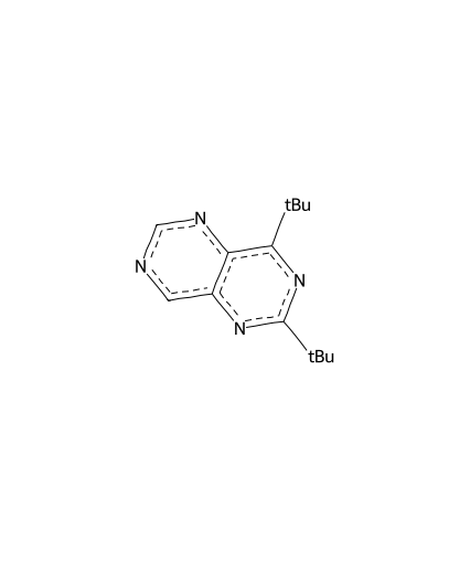 CC(C)(C)c1nc(C(C)(C)C)c2ncncc2n1